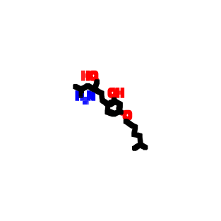 CC(C)CCCCOc1ccc(CC[C@@](N)(CO)CC(C)C)c(O)c1